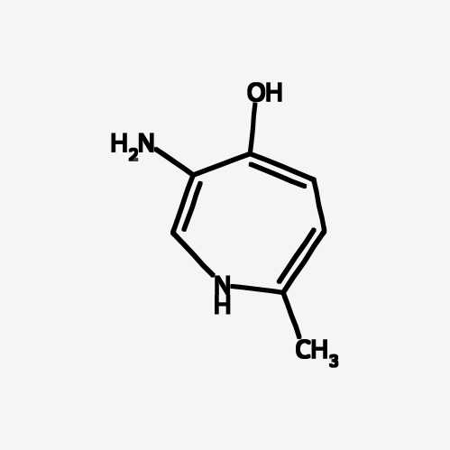 CC1=CC=C(O)C(N)=CN1